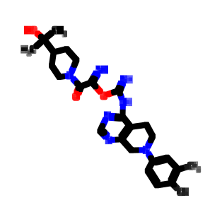 CC(C)(O)C1CCN(C(=O)C(=N)OC(=N)Nc2ncnc3c2CCN(c2ccc(C#N)c(C(F)(F)F)c2)C3)CC1